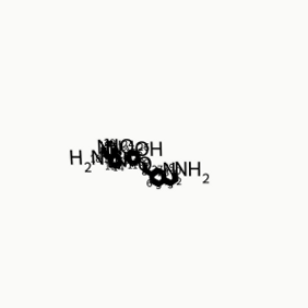 Nc1ccc2ccc(CO[C@H]3C[C@@H](n4ccc5c(N)ncnc54)[C@H](O)[C@@H]3O)cc2n1